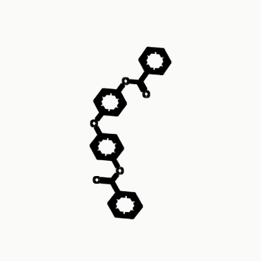 O=C(Oc1ccc(Oc2ccc(OC(=O)c3ccccc3)cc2)cc1)c1ccccc1